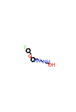 OCCNCCNCc1cccc(OCc2ccc(F)cc2)c1